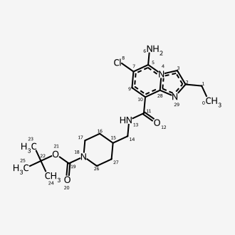 CCc1cn2c(N)c(Cl)cc(C(=O)NCC3CCN(C(=O)OC(C)(C)C)CC3)c2n1